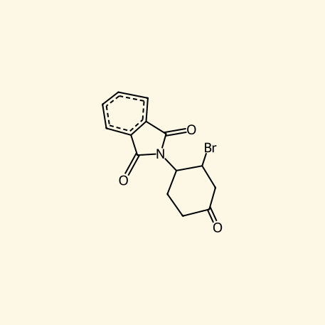 O=C1CCC(N2C(=O)c3ccccc3C2=O)C(Br)C1